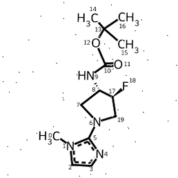 Cn1ccnc1N1C[C@H](NC(=O)OC(C)(C)C)[C@@H](F)C1